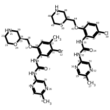 Cc1cnc(NC(=O)Nc2cc(Br)c(C)cc2OC[C@@H]2CNCCO2)cn1.Cc1cnc(NC(=O)Nc2cc(Cl)ccc2OCC2CNCCS2)cn1